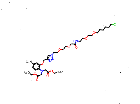 CC(=O)OCOC(=O)CN(CC(=O)OCOC(C)=O)c1ccc([N+](=O)[O-])cc1OCc1cn(CCOCCOCC(=O)NCCOCCOCCCCCCCl)nn1